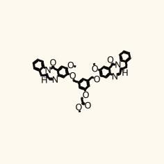 COC(=O)COc1cc(COc2cc3c(cc2OC)C(=O)N2c4ccccc4C[C@H]2C=N3)cc(COc2cc3c(cc2OC)C(=O)N2c4ccccc4C[C@H]2C=N3)c1